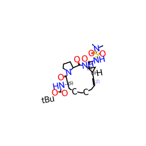 CN(C)S(=O)(=O)NC(=O)[C@@]12C[C@H]1/C=C\CCCCC[C@H](NC(=O)OC(C)(C)C)C(=O)N1CCCC1C(=O)N2